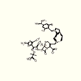 CC(C)(O/N=C(\C(=O)N[C@@H]1C(=O)N2C(C(=O)[O-])=C(C[n+]3ccc4ccn(Cc5c(F)cc(C(=N)N)cc5Cl)c4c3)CS[C@H]12)c1nc(N)sc1Cl)C(=O)O